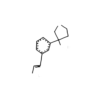 CCOC(=O)/C=C/c1cccc(C2(C(=O)O)CCOC2)c1